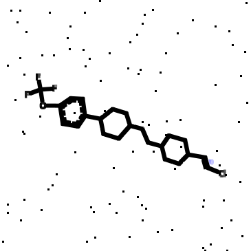 FC(F)(F)Oc1ccc(C2CCC(CCC3CCC(/C=C/Cl)CC3)CC2)cc1